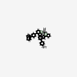 CCC1=Cc2c(-c3ccc(C45CC6CC(CC(C6)C4)C5)cc3)cccc2[CH]1[Zr]([Cl])([Cl])([CH]1C(C2CCCC2)=Cc2c(-c3ccc(C(C)C)cc3)cccc21)[SiH](C)C